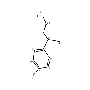 CCCOCC(C)c1ccc(F)cc1